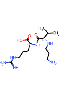 CC(C)[C@H](NCCCN)C(=O)N[C@@H](CCCNC(=N)N)C(=O)O